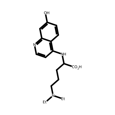 CCN(CC)CCCC(Nc1ccnc2cc(O)ccc12)C(=O)O